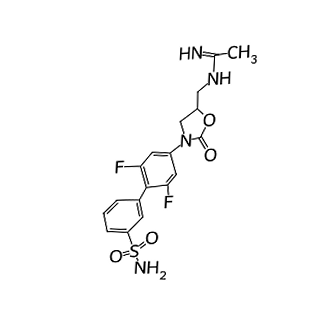 CC(=N)NCC1CN(c2cc(F)c(-c3cccc(S(N)(=O)=O)c3)c(F)c2)C(=O)O1